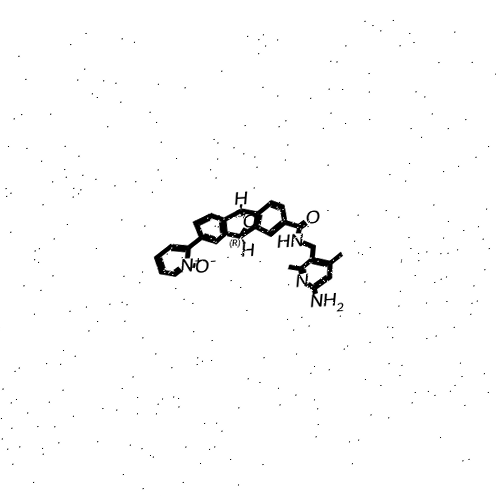 Cc1cc(N)nc(C)c1CNC(=O)c1ccc2c(c1)[C@@H]1O[C@H]2c2ccc(-c3cccc[n+]3[O-])cc21